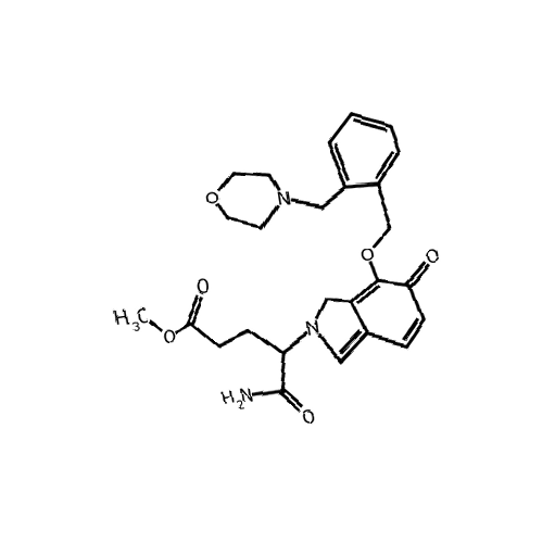 COC(=O)CCC(C(N)=O)N1C=C2C=CC(=O)C(OCc3ccccc3CN3CCOCC3)=C2C1